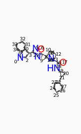 Cn1cc(-c2noc(C3(C)CC4CCC3N(C(=O)NC3CC3c3ccccc3)C4)n2)c2ccccc21